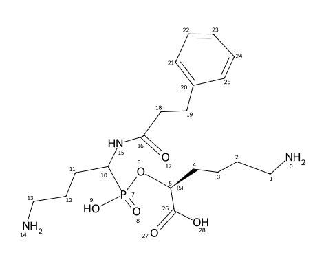 NCCCC[C@H](OP(=O)(O)C(CCCN)NC(=O)CCc1ccccc1)C(=O)O